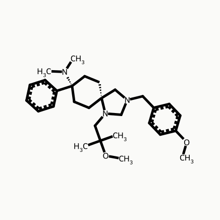 COc1ccc(CN2CN(CC(C)(C)OC)[C@]3(CC[C@@](c4ccccc4)(N(C)C)CC3)C2)cc1